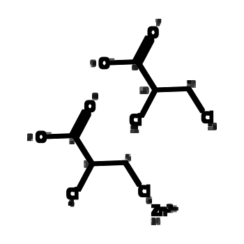 O=C([O-])C(Cl)CCl.O=C([O-])C(Cl)CCl.[Zn+2]